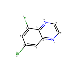 Fc1cc(Br)cc2nccnc12